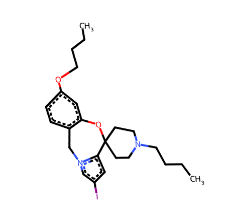 CCCCOc1ccc2c(c1)OC1(CCN(CCCC)CC1)c1cc(I)cn1C2